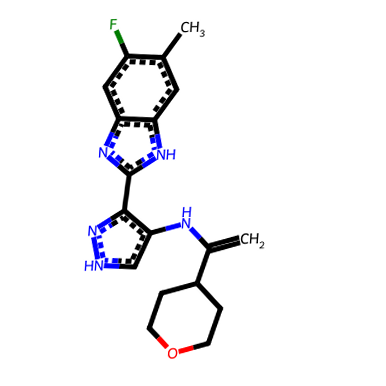 C=C(Nc1c[nH]nc1-c1nc2cc(F)c(C)cc2[nH]1)C1CCOCC1